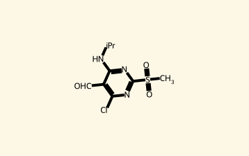 CC(C)Nc1nc(S(C)(=O)=O)nc(Cl)c1C=O